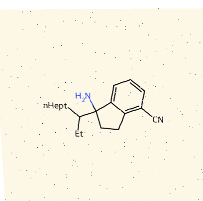 CCCCCCCC(CC)C1(N)CCc2c(C#N)cccc21